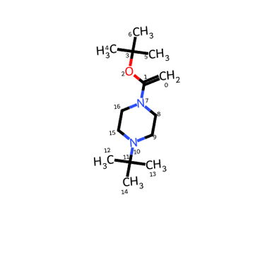 C=C(OC(C)(C)C)N1CCN(C(C)(C)C)CC1